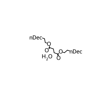 CCCCCCCCCCCCOC(=O)CCC(=O)OCCCCCCCCCCCC.O